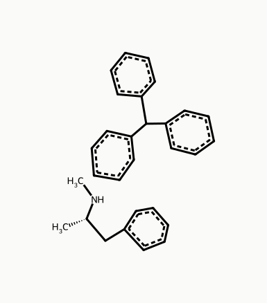 CN[C@@H](C)Cc1ccccc1.c1ccc(C(c2ccccc2)c2ccccc2)cc1